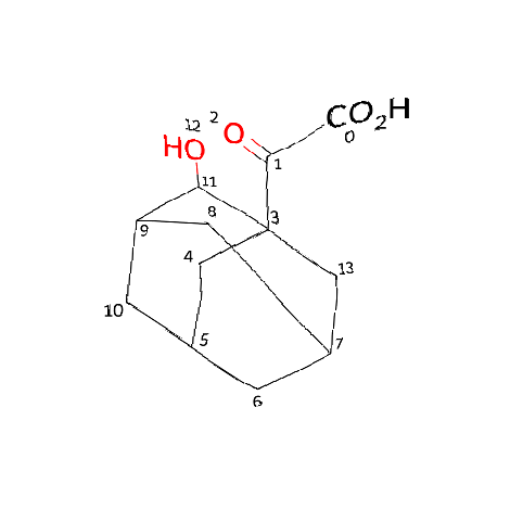 O=C(O)C(=O)C12CC3CC(CC(C3)C1O)C2